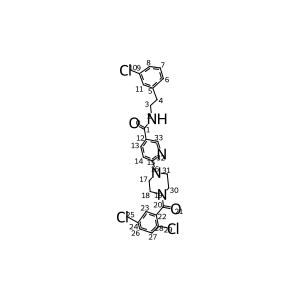 O=C(NCCc1cccc(Cl)c1)c1ccc(N2CCN(C(=O)c3cc(Cl)ccc3Cl)CC2)nc1